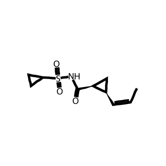 C/C=C\[C@@H]1C[C@@H]1C(=O)NS(=O)(=O)C1CC1